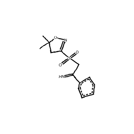 CC1(C)CC(S(=O)(=O)CC(=N)c2ccccc2)=NO1